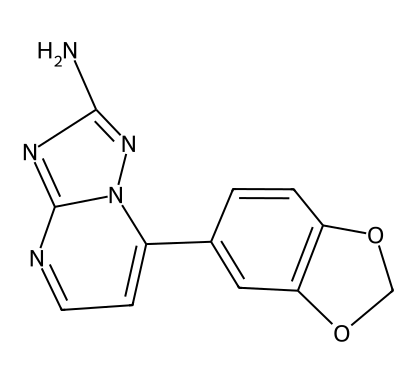 Nc1nc2nccc(-c3ccc4c(c3)OCO4)n2n1